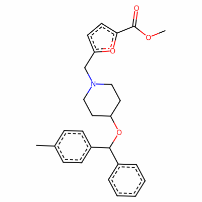 COC(=O)c1ccc(CN2CCC(OC(c3ccccc3)c3ccc(C)cc3)CC2)o1